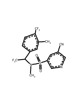 Cc1cc(C(N(C)S(=O)(=O)c2cncc(C#N)c2)C(F)(F)F)ccc1C(F)(F)F